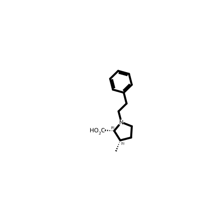 C[C@H]1CCN(CCc2ccccc2)[C@H]1C(=O)O